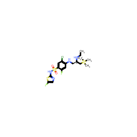 CCN[C@H](CNc1cc(F)c(S(=O)(=O)Nc2ncc(F)s2)cc1Cl)CS(C)(C)C